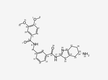 COc1ccc(C(=O)NCc2cccc(C(=O)Nc3nc4c(s3)C[C@@H](N)CC4)c2)cc1OC